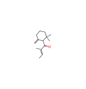 C=C1CCCC(C)(C)C1C(=O)/C(C)=C/C